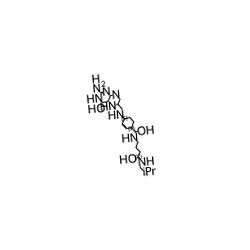 CC(C)CN[C@@H](O)CCCNC(O)[C@H]1C=C[C@@H](NCC2C=NC3N=C(N)NC(O)C3N2)CC1